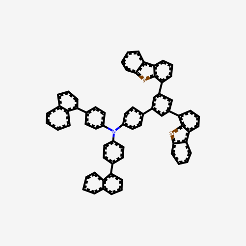 c1ccc2c(-c3ccc(N(c4ccc(-c5cc(-c6cccc7c6sc6ccccc67)cc(-c6cccc7c6sc6ccccc67)c5)cc4)c4ccc(-c5cccc6ccccc56)cc4)cc3)cccc2c1